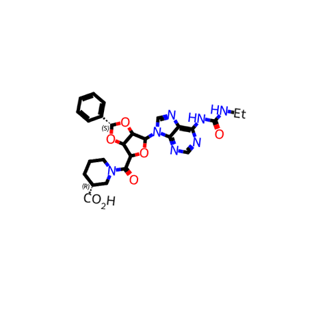 CCNC(=O)Nc1ncnc2c1ncn2C1OC(C(=O)N2CCC[C@@H](C(=O)O)C2)C2O[C@H](c3ccccc3)OC21